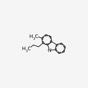 CCCc1c(C)ccc2c1[N]c1ccccc1-2